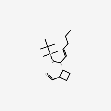 CCC/C=C/C(O[Si](C)(C)C(C)(C)C)[C@@H]1CC[C@H]1C=O